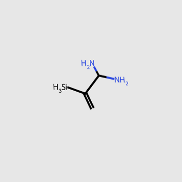 C=C([SiH3])C(N)N